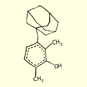 Cc1ccc(C23CC4CC(CC(C4)C2)C3)c(C)c1O